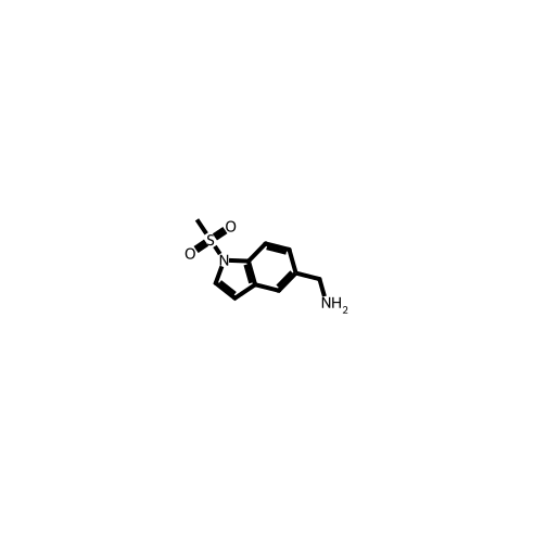 CS(=O)(=O)n1ccc2cc(CN)ccc21